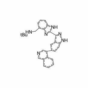 CC(C)(C)NCc1cccc2[nH]c(-c3n[nH]c4ccc(-c5cncc6ccccc56)cc34)nc12